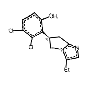 CCc1cnc2n1C[C@@H](c1c(O)ccc(Cl)c1Cl)C2